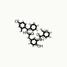 Cc1cc(Cl)ccc1C(NC(=O)Cc1ccc(O)c(NC(=O)c2cccnc2C)c1)c1ccccc1